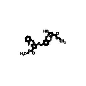 CCOC(=O)c1cc(O)n(Cc2cc(CSc3cc(C(=O)OCC)nn3Cc3ccccc3F)ccc2F)n1